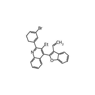 C=Cc1c(-c2c(CC)c(C3=CC(Br)=CCC3)nc3ccccc23)oc2ccccc12